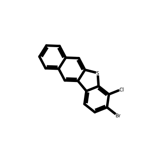 Clc1c(Br)ccc2c1sc1cc3ccccc3cc12